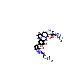 CCNC(=O)c1ccccc1-c1ccc(CN2C(=O)[C@H](NC(=O)C(C)(C)N)CCc3cccnc32)cc1